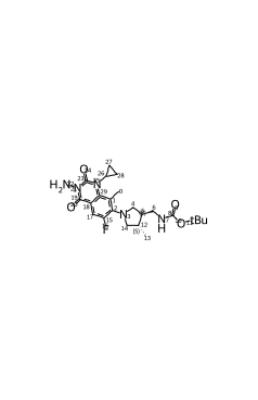 Cc1c(N2C[C@@H](CNC(=O)OC(C)(C)C)[C@H](C)C2)c(F)cc2c(=O)n(N)c(=O)n(C3CC3)c12